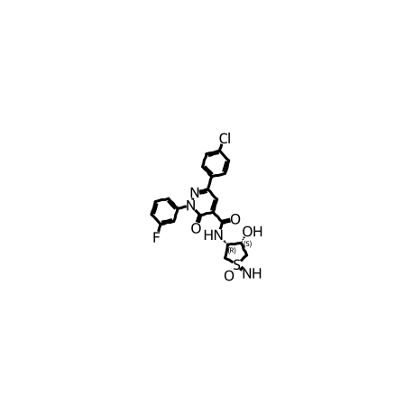 N=S1(=O)C[C@@H](O)[C@@H](NC(=O)c2cc(-c3ccc(Cl)cc3)nn(-c3cccc(F)c3)c2=O)C1